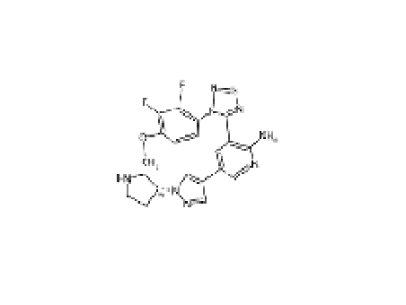 COc1ccc(-n2nnnc2-c2cc(-c3cnn([C@@H]4CCNC4)c3)cnc2N)c(F)c1F